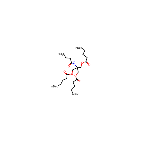 CCCCCCCCCCCCCC(=O)OCC(COC(=O)CCCCCCCCCCCCC)(COC(=O)CCCCCCCCCCCCC)NC(=O)CCC(=O)O